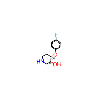 O[C@H]1CNCC[C@@H]1Oc1ccc(F)cc1